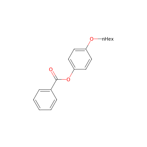 CCCCCCOc1ccc(OC(=O)c2ccccc2)cc1